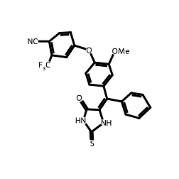 COc1cc(C(=C2NC(=S)NC2=O)c2ccccc2)ccc1Oc1ccc(C#N)c(C(F)(F)F)c1